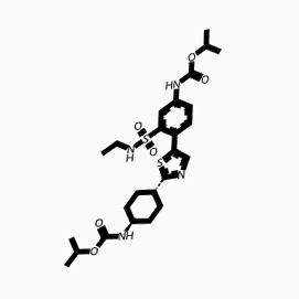 CCNS(=O)(=O)c1cc(NC(=O)OC(C)C)ccc1-c1cnc([C@H]2CC[C@H](NC(=O)OC(C)C)CC2)s1